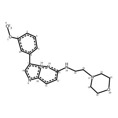 FC(F)(F)Oc1cccc(-c2cnc3ccc(NCCN4CCOCC4)nn23)c1